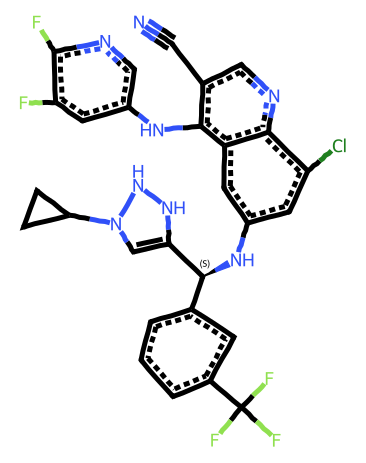 N#Cc1cnc2c(Cl)cc(N[C@H](C3=CN(C4CC4)NN3)c3cccc(C(F)(F)F)c3)cc2c1Nc1cnc(F)c(F)c1